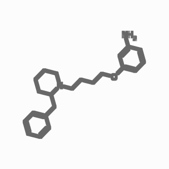 Nc1cccc(OCCCCN2CCCCC2Cc2ccccc2)c1